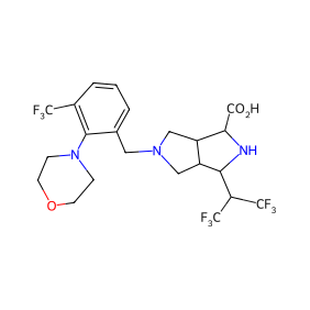 O=C(O)C1NC(C(C(F)(F)F)C(F)(F)F)C2CN(Cc3cccc(C(F)(F)F)c3N3CCOCC3)CC12